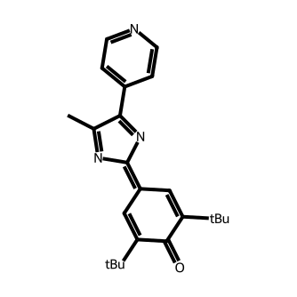 CC1=NC(=C2C=C(C(C)(C)C)C(=O)C(C(C)(C)C)=C2)N=C1c1ccncc1